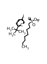 CC(C)(C)c1ccc(I)cc1.CCCCCCCCS(=O)(=O)OF